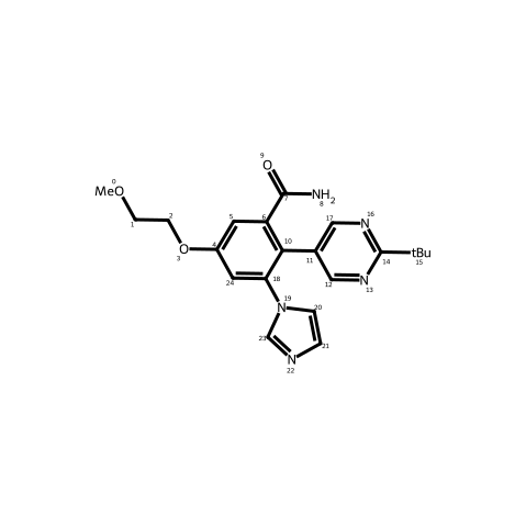 COCCOc1cc(C(N)=O)c(-c2cnc(C(C)(C)C)nc2)c(-n2ccnc2)c1